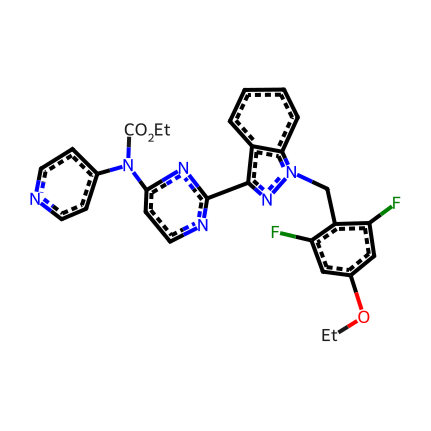 CCOC(=O)N(c1ccncc1)c1ccnc(-c2nn(Cc3c(F)cc(OCC)cc3F)c3ccccc23)n1